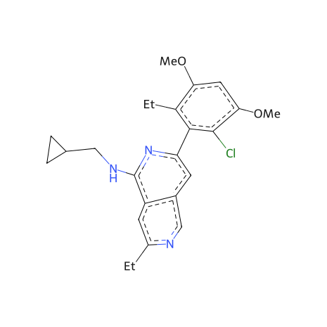 CCc1cc2c(NCC3CC3)nc(-c3c(Cl)c(OC)cc(OC)c3CC)cc2cn1